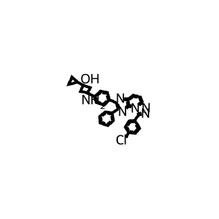 NC1(c2ccc(-c3nc4ccc5nnc(-c6ccc(Cl)cc6)n5c4nc3-c3ccccc3)cc2)CC(O)(C2CC2)C1